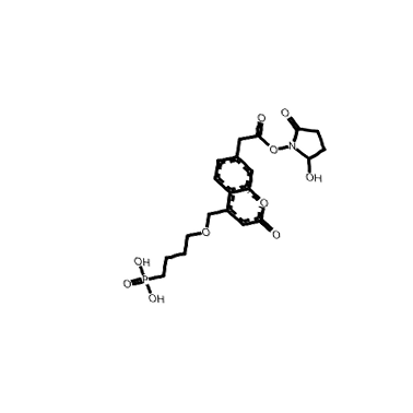 O=C(Cc1ccc2c(COCCCCP(=O)(O)O)cc(=O)oc2c1)ON1C(=O)CCC1O